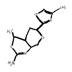 Cc1coc(C2CC3C(CO2)N=C(N)SC3C)n1